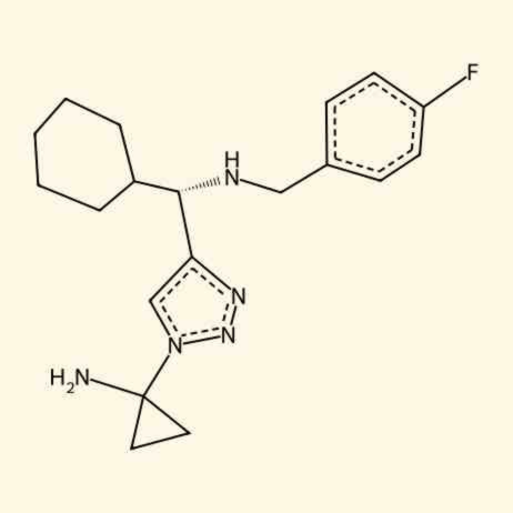 NC1(n2cc([C@@H](NCc3ccc(F)cc3)C3CCCCC3)nn2)CC1